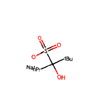 CCCC(O)(C(C)(C)C)S(=O)(=O)[O-].[Na+]